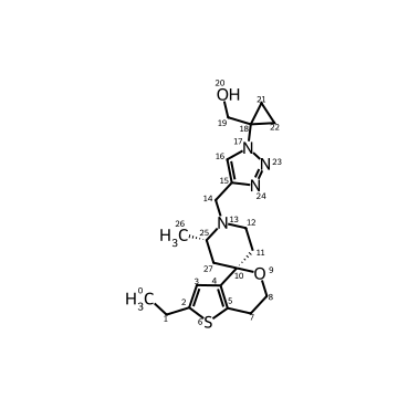 CCc1cc2c(s1)CCO[C@@]21CCN(Cc2cn(C3(CO)CC3)nn2)[C@@H](C)C1